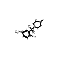 CN1CCN(S(=O)(=O)c2cc([N+](=O)[O-])ccc2F)CC1